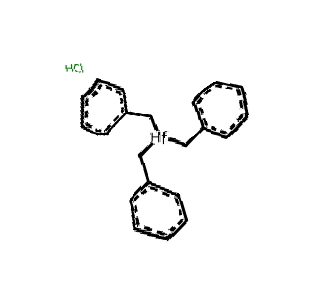 Cl.c1ccc([CH2][Hf]([CH2]c2ccccc2)[CH2]c2ccccc2)cc1